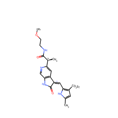 CCCOCCNC(=O)[C@@H](C)c1cc2c(cn1)NC(=O)/C2=C\c1[nH]c(C)cc1C(=O)OCC